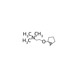 C[N+](C)(C)CCOC1=PCCC1